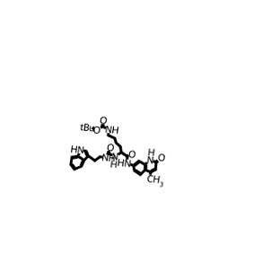 Cc1cc(=O)[nH]c2cc(NC(=O)C(CCCCNC(=O)OC(C)(C)C)NC(=O)NCCc3c[nH]c4ccccc34)ccc12